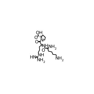 N=C(N)NCCC[C@H](NC(=O)[C@@H](N)CCCCN)C(=O)N1CCC[C@H]1C(=O)O